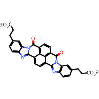 CCOC(=O)CCc1ccc2nc3c4ccc5c6c(ccc(c(=O)n3c2c1)c46)c(=O)n1c2cc(CCC(=O)OCC)ccc2nc51